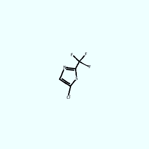 FC(F)(F)c1ncc(Cl)s1